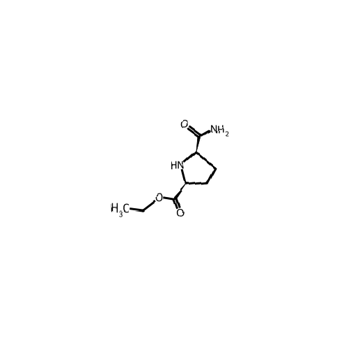 CCOC(=O)[C@@H]1CC[C@H](C(N)=O)N1